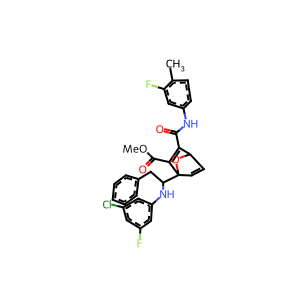 COC(=O)C1=C(C(=O)Nc2ccc(C)c(F)c2)C2C=CC1(C(Cc1ccccc1)Nc1cc(F)cc(Cl)c1)O2